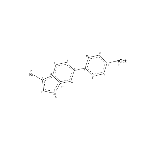 CCCCCCCCc1ccc(-c2ccc3c(Br)csc3c2)cc1